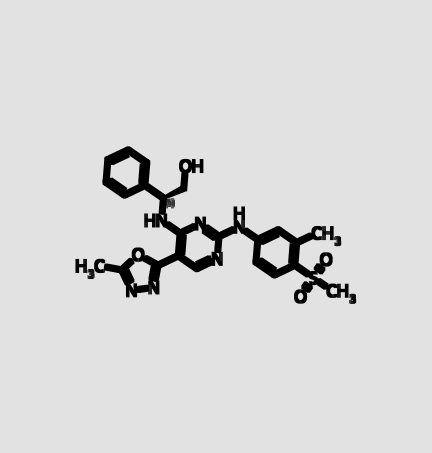 Cc1nnc(-c2cnc(Nc3ccc(S(C)(=O)=O)c(C)c3)nc2N[C@H](CO)c2ccccc2)o1